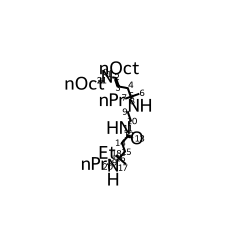 CCCCCCCCN(/C=C/CC(C)(CCC)NCCNC(=O)CCC(C)(CC)NCCC)CCCCCCCC